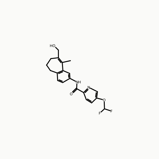 CC1=C(CO)CCCc2ccc(NC(=O)c3ccc(OC(F)F)cn3)cc21